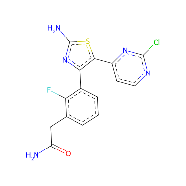 NC(=O)Cc1cccc(-c2nc(N)sc2-c2ccnc(Cl)n2)c1F